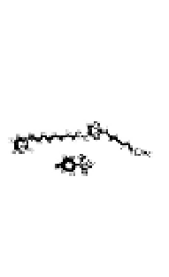 CCCCCCCCCCCCCCC[C@@H]1OC[C@@H](COCCCCCCCC[n+]2ccccc2)O1.Cc1ccc(S(=O)(=O)[O-])cc1